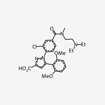 CCN(CC)CCN(C)C(=O)c1ccc(-n2nc(C(=O)O)cc2-c2c(OC)cccc2OC)c(Cl)c1